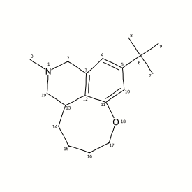 CN1Cc2cc(C(C)(C)C)cc3c2C(CCCCO3)C1